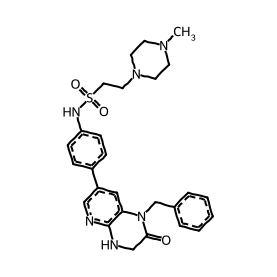 CN1CCN(CCS(=O)(=O)Nc2ccc(-c3cnc4c(c3)N(Cc3ccccc3)C(=O)CN4)cc2)CC1